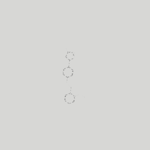 CC(C)Oc1ccccc1COc1ccc(-c2cc(O)no2)cc1